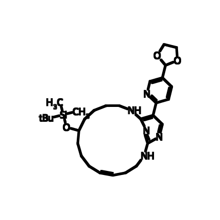 CC(C)(C)[Si](C)(C)OC1CCCC=CCCNc2ncc(-c3ccc(C4OCCO4)cn3)c(n2)NCCCC1